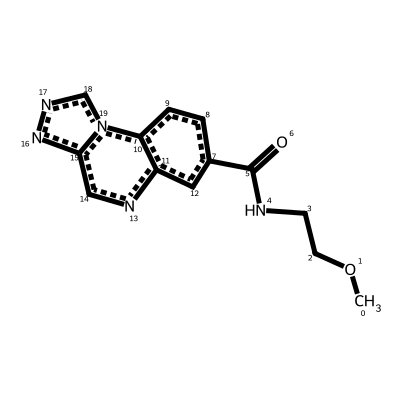 COCCNC(=O)c1ccc2c(c1)ncc1nncn12